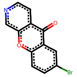 O=c1c2ccncc2oc2ccc(Br)cc12